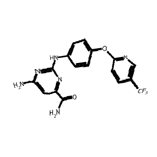 NC(=O)c1cc(N)nc(Nc2ccc(Oc3ccc(C(F)(F)F)cn3)cc2)n1